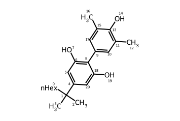 CCCCCCC(C)(C)c1cc(O)c(-c2cc(C)c(O)c(C)c2)c(O)c1